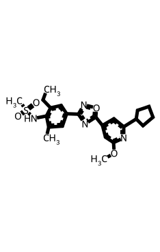 CCc1cc(-c2noc(-c3cc(OC)nc(C4CCCC4)c3)n2)cc(C)c1NS(C)(=O)=O